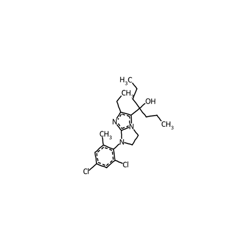 CCCC(O)(CCC)c1c(CC)nc2n1CCN2c1c(C)cc(Cl)cc1Cl